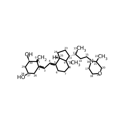 C=C1C(=CC=C2CCC[C@]3(C)[C@@H](C(C)CCN4CCOCC4C)CC[C@@H]23)C[C@@H](O)C[C@H]1O